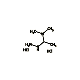 CC(NN)N(C)C.Cl.Cl